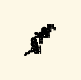 C#C[C@]1(CCc2ccc3ccc(NC(O)OCCCCC)nc3c2)C[C@@H](n2ccc3c(N)ncnc32)[C@H](O)[C@@H]1O